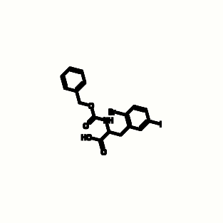 O=C(NC(Cc1cc(I)ccc1Br)C(=O)O)OCc1ccccc1